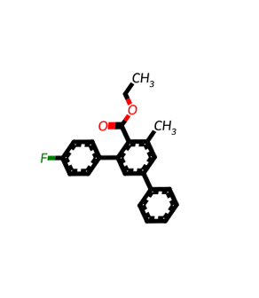 CCOC(=O)c1c(C)cc(-c2ccccc2)cc1-c1ccc(F)cc1